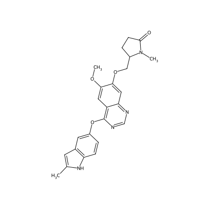 COc1cc2c(Oc3ccc4[nH]c(C)cc4c3)ncnc2cc1OCC1CCC(=O)N1C